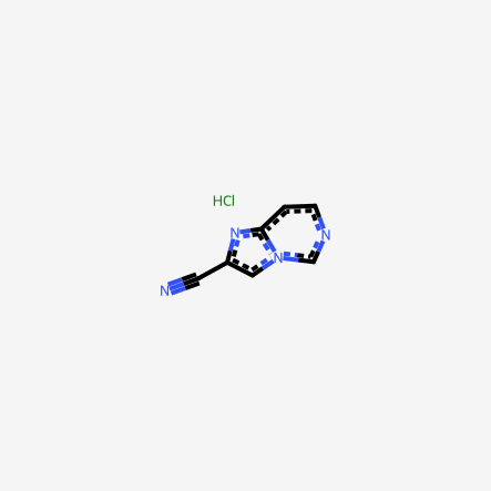 Cl.N#Cc1cn2cnccc2n1